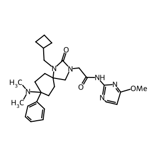 COc1ccnc(NC(=O)CN2CC3(CCC(c4ccccc4)(N(C)C)CC3)N(CC3CCC3)C2=O)n1